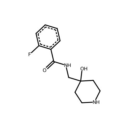 O=C(NCC1(O)CCNCC1)c1ccccc1F